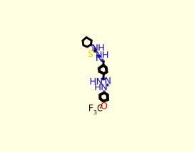 N=C(/N=C\Nc1ccc(OC(F)(F)F)cc1)c1ccc(/C=N/NC(=S)NC2CCCCC2)cc1